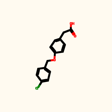 O=C(O)Cc1ccc(OCc2ccc(Cl)cc2)cc1